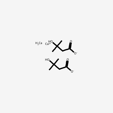 CC(C)(O)CC(=O)[O-].CC(C)(O)CC(=O)[O-].[Ca+2].[CaH2]